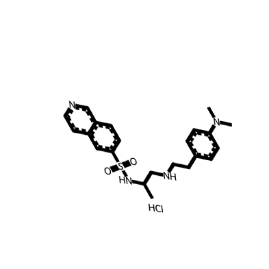 CC(CNCCc1ccc(N(C)C)cc1)NS(=O)(=O)c1ccc2cnccc2c1.Cl